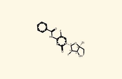 CC[C@@]1(CF)O[C@@H](n2cc(F)c(NC(=O)c3ccccc3)nc2=O)[C@H](F)[C@@H]1O